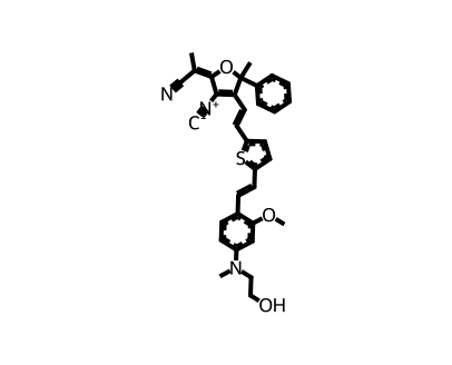 [C-]#[N+]C1=C(/C=C/c2ccc(/C=C/c3ccc(N(C)CCO)cc3OC)s2)C(C)(c2ccccc2)O/C1=C(\C)C#N